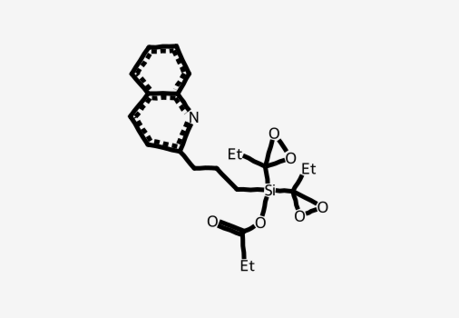 CCC(=O)O[Si](CCCc1ccc2ccccc2n1)(C1(CC)OO1)C1(CC)OO1